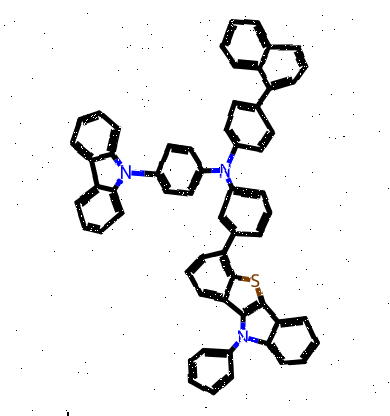 c1ccc(-n2c3ccccc3c3sc4c(-c5cccc(N(c6ccc(-c7cccc8ccccc78)cc6)c6ccc(-n7c8ccccc8c8ccccc87)cc6)c5)cccc4c32)cc1